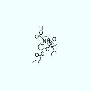 CCC(C)CC(=O)Oc1ccc(CC(N)(C[C@H](C)OC(=O)OC(C)C)C(=O)O)cc1OC(=O)CC(C)CC